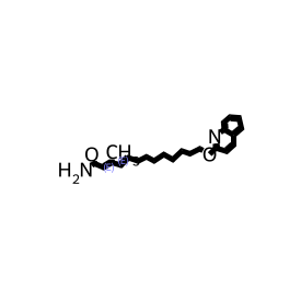 CC(/C=C/CCCCCCCCOc1ccc2ccccc2n1)=C\C(N)=O